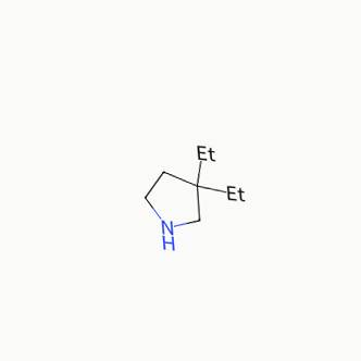 CCC1(CC)CCNC1